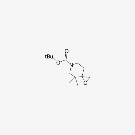 CC(C)(C)OC(=O)N1CCC2(CO2)C(C)(C)C1